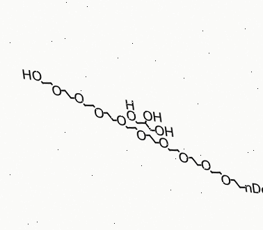 CCCCCCCCCCCCOCCOCCOCCOCCOCCOCCOCCOCCOCCO.OCC(O)CO